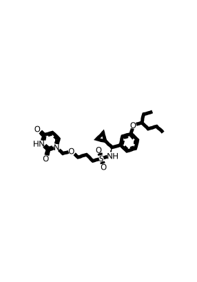 CCCC(CC)Oc1cccc([C@H](NS(=O)(=O)CCCOCn2ccc(=O)[nH]c2=O)C2CC2)c1